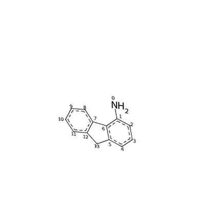 Nc1cccc2c1-c1ccccc1[C]2